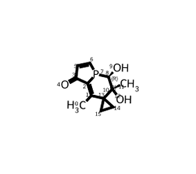 CC1=C2C(=O)C=CP2[C@@H](O)[C@](C)(O)C12CC2